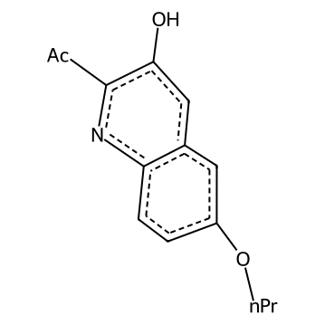 CCCOc1ccc2nc(C(C)=O)c(O)cc2c1